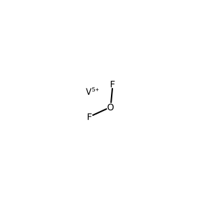 FOF.[V+5]